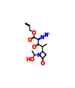 C=CCOC(=O)C(=[N+]=[N-])C(=O)C(C)C1CC(=O)N1C(C)O